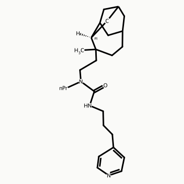 CCCN(CCC1(C)CCC2CC3CC(C2)[C@H]1C3)C(=O)NCCCc1ccncc1